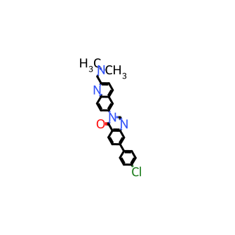 CN(C)Cc1ccc2cc(-n3cnc4cc(-c5ccc(Cl)cc5)ccc4c3=O)ccc2n1